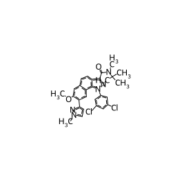 COc1cc2ccc3c(C(=O)N(C)C(C)(C)C)nn(-c4cc(Cl)cc(Cl)c4)c3c2cc1-c1ccn(C)n1